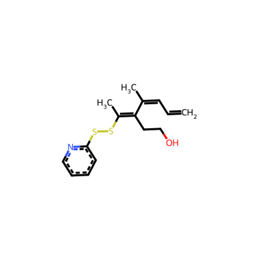 C=C/C=C(C)\C(CCO)=C(/C)SSc1ccccn1